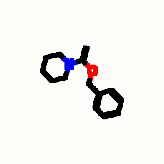 C=C(OCc1ccccc1)N1CCCCC1